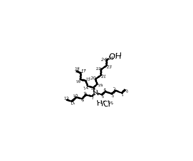 CCCCCCN(CCCCCC)C(CCCCC)CCCCCCO.Cl